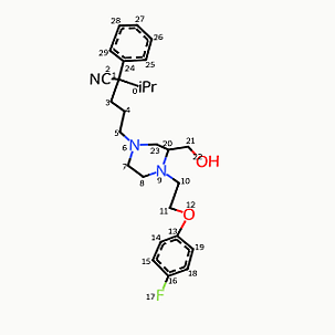 CC(C)C(C#N)(CCCN1CCN(CCOc2ccc(F)cc2)C(CO)C1)c1ccccc1